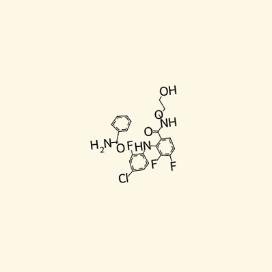 NC(=O)c1ccccc1.O=C(NOCCO)c1ccc(F)c(F)c1Nc1ccc(Cl)cc1F